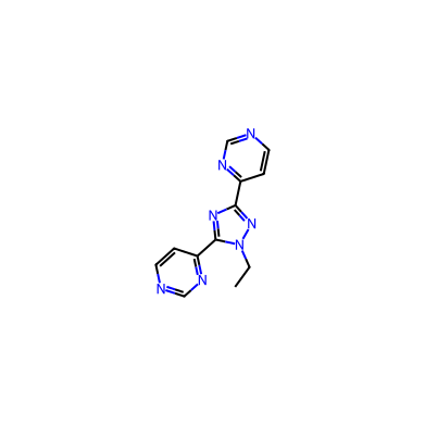 CCn1nc(-c2ccncn2)nc1-c1ccncn1